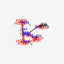 CC(=O)NC1C(OCCOCCNC(=O)CCC(NC(=O)CCC(NC(=O)CCCCCCCCCCC(=O)NC[C@@H]2C[C@@H](OC(C)(C)C)[C@H](CO)O2)C(=O)NCCOCCOC2OC(CO)C(O)C(O)C2NC(C)=O)C(=O)NCCOCCOC2OC(CO)C(O)C(O)C2NC(C)=O)OC(CO)C(O)C1O